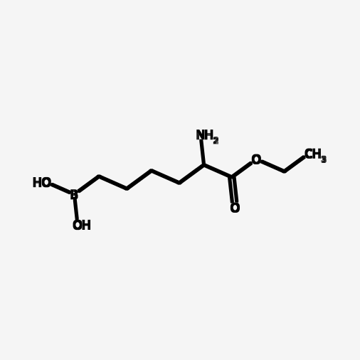 CCOC(=O)C(N)CCCCB(O)O